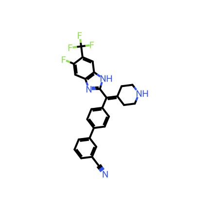 N#Cc1cccc(-c2ccc(C(=C3CCNCC3)c3nc4cc(F)c(C(F)(F)F)cc4[nH]3)cc2)c1